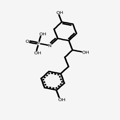 O=P(O)(O)N=C1CC(O)=CC=C1C(O)CCc1cccc(O)c1